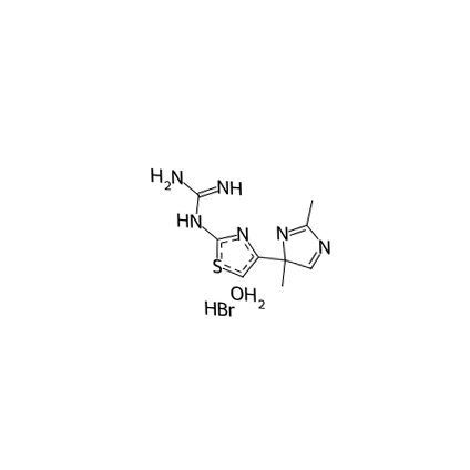 Br.CC1=NC(C)(c2csc(NC(=N)N)n2)C=N1.O